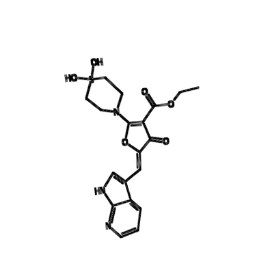 CCOC(=O)C1=C(N2CCS(O)(O)CC2)O/C(=C\c2c[nH]c3ncccc23)C1=O